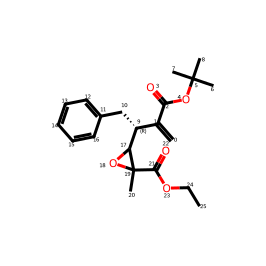 C=C(C(=O)OC(C)(C)C)[C@@H](Cc1ccccc1)C1OC1(C)C(=O)OCC